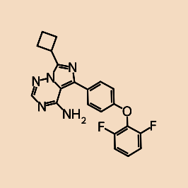 Nc1ncnn2c(C3CCC3)nc(-c3ccc(Oc4c(F)cccc4F)cc3)c12